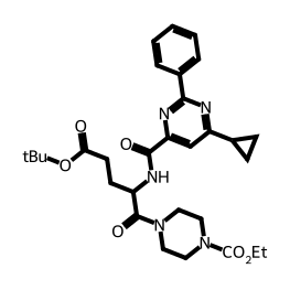 CCOC(=O)N1CCN(C(=O)C(CCC(=O)OC(C)(C)C)NC(=O)c2cc(C3CC3)nc(-c3ccccc3)n2)CC1